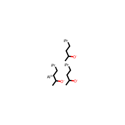 CC(C)CCC(C)[O-].CC(C)CCC(C)[O-].CC(C)CCC(C)[O-].[Al+3]